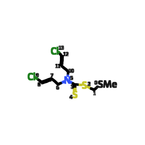 CSCSC(=S)N(CC=CCl)CC=CCl